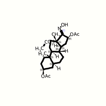 CC(=O)O.CC(=O)O[C@H]1CC[C@@]2(C)[C@@H](CC[C@@H]3[C@@H]2CC[C@]2(C)/C(=N/O)[C@H](OC(C)=O)C[C@@H]32)C1